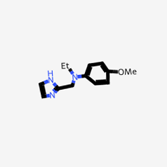 CCN(Cc1ncc[nH]1)c1ccc(OC)cc1